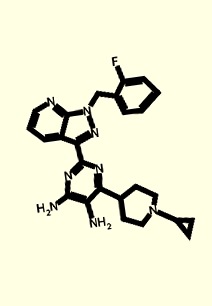 Nc1nc(-c2nn(Cc3ccccc3F)c3ncccc23)nc(C2CCN(C3CC3)CC2)c1N